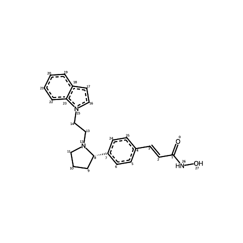 O=C(/C=C/c1ccc([C@@H]2CCCN2CCn2ccc3ccccc32)cc1)NO